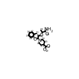 COC(=O)C1CCN(C(=O)[C@H](Cc2ccccc2)OC(C)C(N)=O)CC1